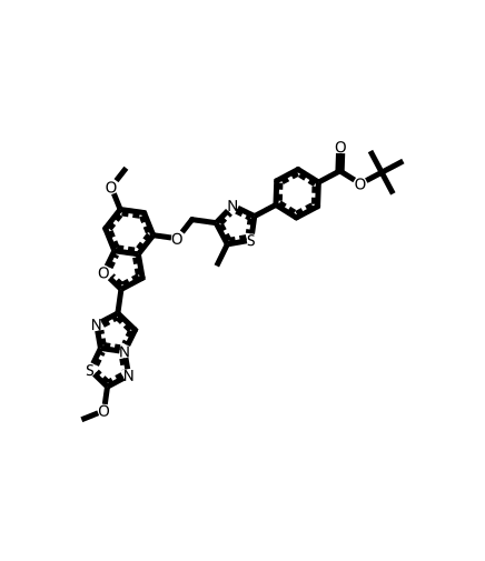 COc1cc(OCc2nc(-c3ccc(C(=O)OC(C)(C)C)cc3)sc2C)c2cc(-c3cn4nc(OC)sc4n3)oc2c1